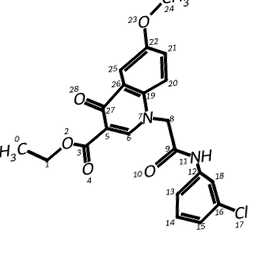 CCOC(=O)c1cn(CC(=O)Nc2cccc(Cl)c2)c2ccc(OC)cc2c1=O